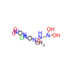 CCN(CC(=O)NCCCN(CCO)CCO)c1ccc(/N=N/c2ccc([N+](=O)[O-])cc2Cl)cc1